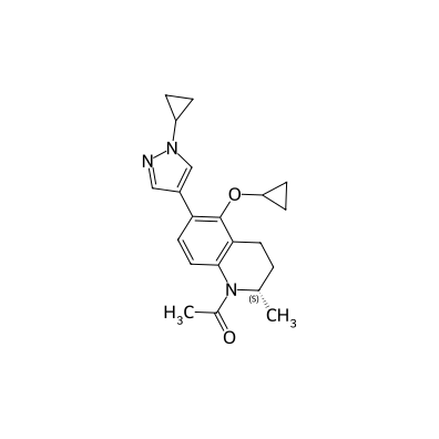 CC(=O)N1c2ccc(-c3cnn(C4CC4)c3)c(OC3CC3)c2CC[C@@H]1C